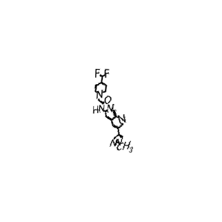 Cn1cc(-c2cnc3cnc(NC(=O)CN4CCC(C(F)F)CC4)cc3c2)cn1